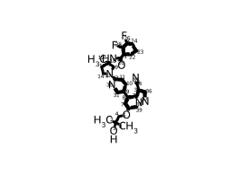 CC(C)(O)COc1cc(-c2ccc(N3CC[C@](C)(NC(=O)c4cccc(F)c4F)C3)nc2)c2c(C#N)cnn2c1